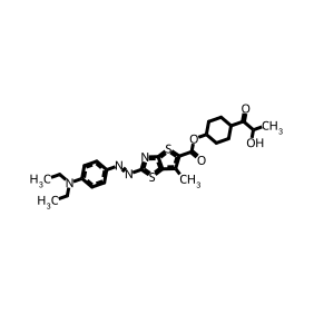 CCN(CC)c1ccc(N=Nc2nc3sc(C(=O)OC4CCC(C(=O)C(C)O)CC4)c(C)c3s2)cc1